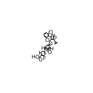 O=C(O)c1ncc(N2C(=O)[C@@H]3C[C@H]2C[C@H]3OCc2c(-c3c(Cl)cccc3Cl)noc2C2CC2)cc1F